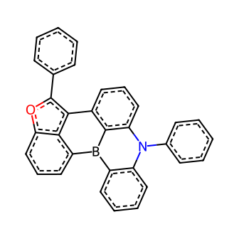 c1ccc(-c2oc3cccc4c3c2-c2cccc3c2B4c2ccccc2N3c2ccccc2)cc1